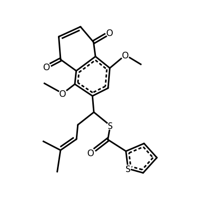 COc1cc(C(CC=C(C)C)SC(=O)c2cccs2)c(OC)c2c1C(=O)C=CC2=O